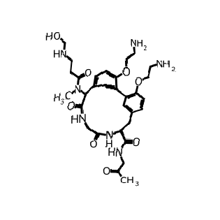 CC(=O)CNC(=O)C1Cc2ccc(OCCN)c(c2)-c2cc(ccc2OCCN)C(N(C)C(=O)CCNCO)C(=O)NCC(=O)N1